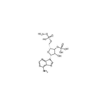 Nc1ncnc2c1ncn2[C@@H]1O[C@H](COP(=O)(O)OS(=O)(=O)O)C(OP(=O)(O)O)C1O